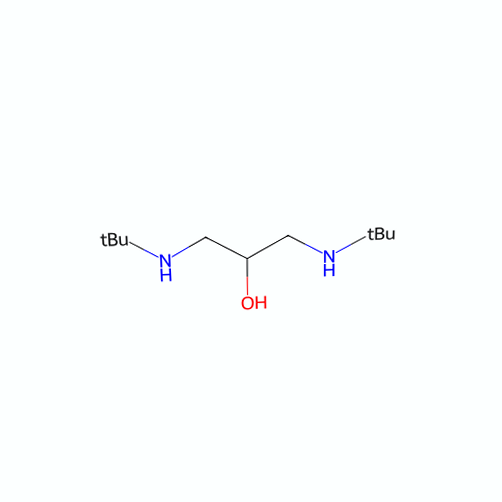 CC(C)(C)NCC(O)CNC(C)(C)C